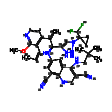 C=C(c1ccnc(OC)c1/C=C\C)[C@H](Nc1cc(C#N)c2ncc(C#N)c(NCC(C)(C)C)c2c1)C1=CN(C2(C(F)F)CC2)NN1